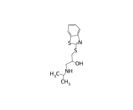 CC(C)NCC(O)CSc1nc2ccccc2s1